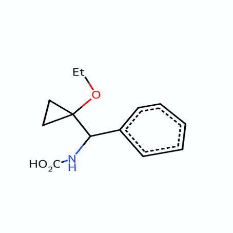 CCOC1(C(NC(=O)O)c2ccccc2)CC1